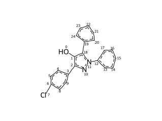 Oc1c(-c2ccc(Cl)cc2)nn(-c2ccccc2)c1-c1ccccc1